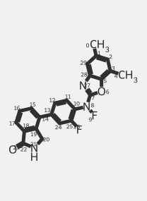 Cc1cc(C)c2oc(N(F)c3ccc(-c4cccc5c4CNC5=O)cc3F)nc2c1